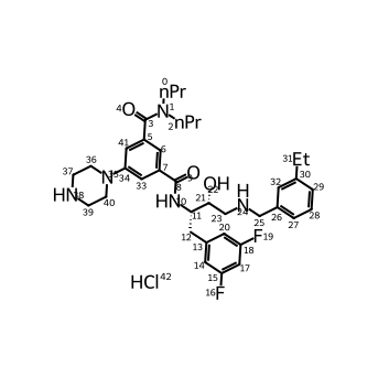 CCCN(CCC)C(=O)c1cc(C(=O)N[C@@H](Cc2cc(F)cc(F)c2)[C@H](O)CNCc2cccc(CC)c2)cc(N2CCNCC2)c1.Cl